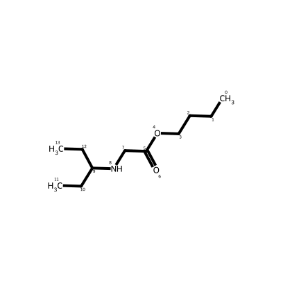 CCCCOC(=O)CNC(CC)CC